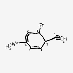 C#CC1C=CC(N)=CC1CC